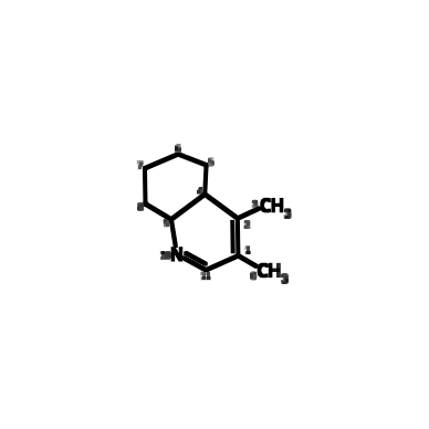 CC1=C(C)C2CCCCC2N=C1